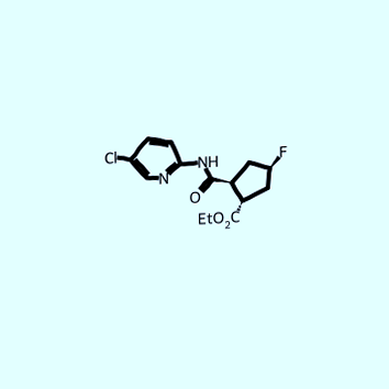 CCOC(=O)[C@H]1C[C@H](F)C[C@@H]1C(=O)Nc1ccc(Cl)cn1